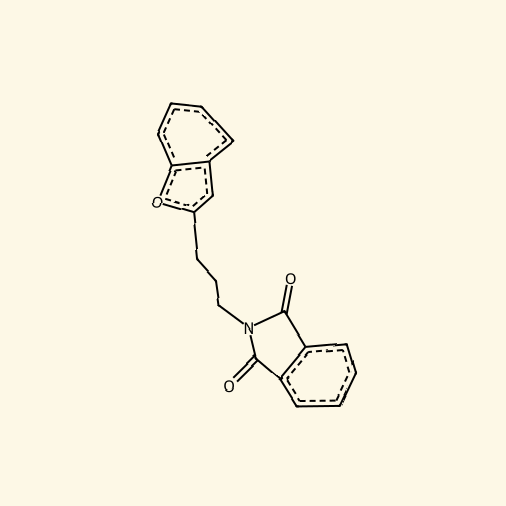 O=C1c2ccccc2C(=O)N1CCCc1cc2ccccc2o1